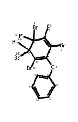 FC1(Br)C(Br)=C(Br)C(Oc2ccccc2)=C(Br)C1(Br)Br